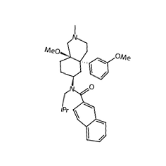 COc1cccc([C@@]23CCN(C)C[C@@]2(OC)CC[C@H](N(CC(C)C)C(=O)c2ccc4ccccc4c2)C3)c1